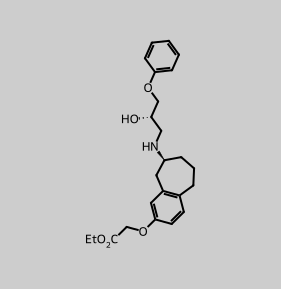 CCOC(=O)COc1ccc2c(c1)C[C@@H](NC[C@H](O)COc1ccccc1)CCC2